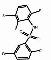 O=S(=O)(Nc1c(F)ccc(Br)c1F)c1cc(Cl)ccc1Cl